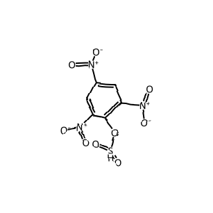 O=[N+]([O-])c1cc([N+](=O)[O-])c(O[SH](=O)=O)c([N+](=O)[O-])c1